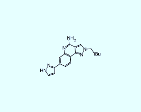 CCC(C)Cn1cc2c(N)nc3cc(-c4cc[nH]n4)ccc3c2n1